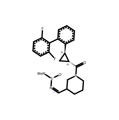 CN[S+]([O-])/N=C\C1CCCN(C(=O)[C@@H]2C[C@H]2c2ccccc2-c2c(F)cccc2F)C1